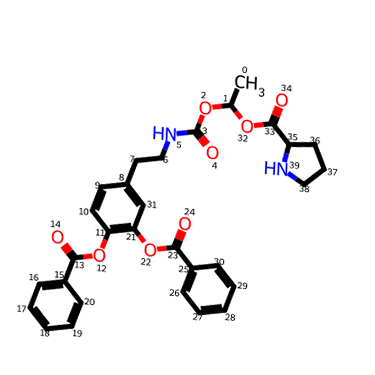 CC(OC(=O)NCCc1ccc(OC(=O)c2ccccc2)c(OC(=O)c2ccccc2)c1)OC(=O)C1CCCN1